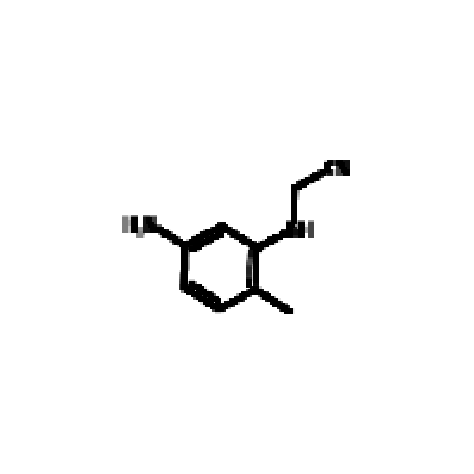 Cc1ccc(N)cc1NCC#N